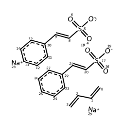 C=CC=C.O=S(=O)([O-])C=Cc1ccccc1.O=S(=O)([O-])C=Cc1ccccc1.[Na+].[Na+]